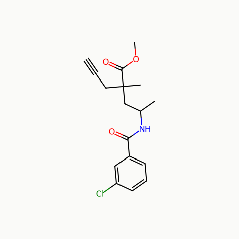 C#CCC(C)(CC(C)NC(=O)c1cccc(Cl)c1)C(=O)OC